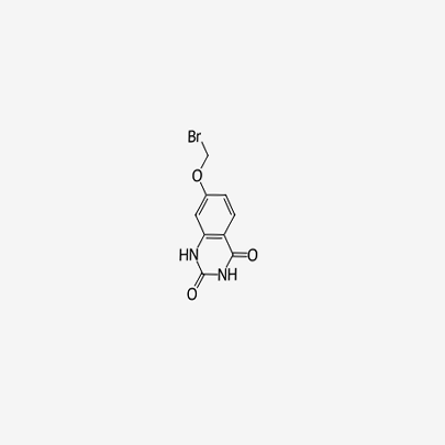 O=c1[nH]c(=O)c2ccc(OCBr)cc2[nH]1